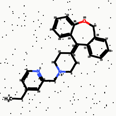 CCc1ccnc(CN2CCC(=C3c4ccccc4COc4ccccc43)CC2)c1